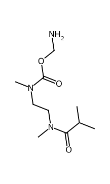 CC(C)C(=O)N(C)CCN(C)C(=O)OCN